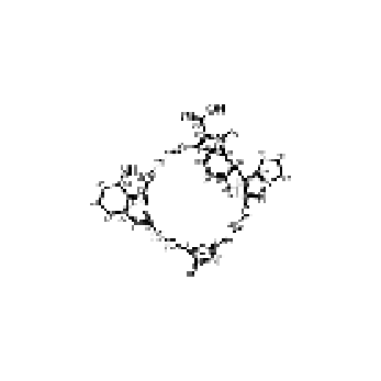 Cn1nc2cc1CSc1cc3c(c(c1)OCCCc1c(C(=O)O)n(C)c4c(c(Cl)ccc14)-c1c(nn4c1CCC4)CSC2)C(N)CCC3